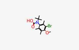 COc1c(C)c(C)c(N(C(=O)O)C(C)(C)C)c(C)c1Br